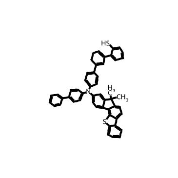 CC1(C)c2cc(N(c3ccc(C4=CC(c5ccccc5S)=CCC4)cc3)c3ccc(-c4ccccc4)cc3)ccc2-c2c1ccc1c2sc2ccccc21